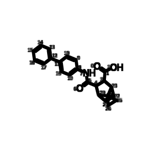 O=C(O)C1C(C(=O)Nc2ccc(-c3ccccc3)cc2)C2C=CC1C21CC1